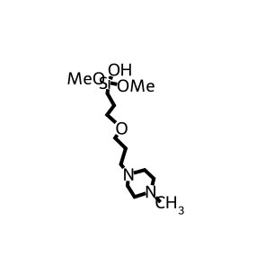 CO[Si](O)(CCCOCCCN1CCN(C)CC1)OC